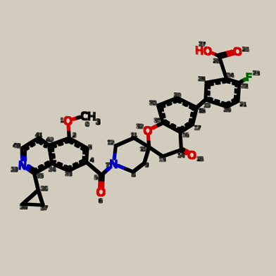 COc1cc(C(=O)N2CCC3(CC2)CC(=O)c2cc(-c4ccc(F)c(C(=O)O)c4)ccc2O3)cc2c(C3CC3)nccc12